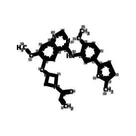 C=CC(=O)N1CC(Oc2cc3c(Nc4cc(-c5ccc(C)o5)ccc4OC)ncnc3cc2OC)C1